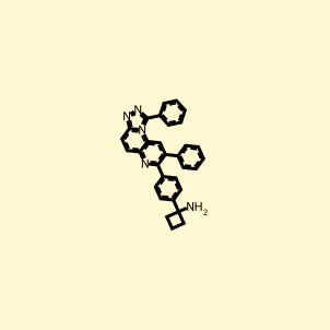 NC1(c2ccc(-c3nc4ccc5nnc(-c6ccccc6)n5c4cc3-c3ccccc3)cc2)CCC1